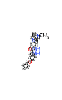 CN1C[C@@H]2CCN(c3ccc(NC(=O)c4cc5cc(OCc6ccccc6)ccc5[nH]4)cc3)[C@@H]2C1